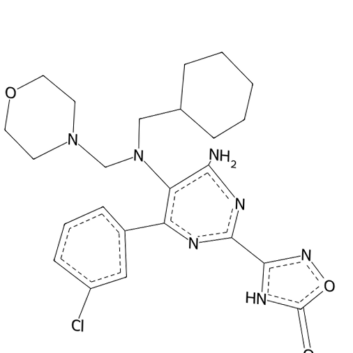 Nc1nc(-c2noc(=O)[nH]2)nc(-c2cccc(Cl)c2)c1N(CC1CCCCC1)CN1CCOCC1